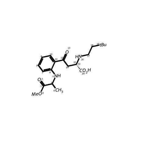 COC(=O)C(C)Nc1ccccc1C(=O)C[C@H](NCCC(C)(C)C)C(=O)O